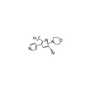 Cc1nc(N2CCOCC2)c(C#N)cc1-c1ccncc1